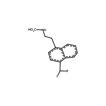 O=C(O)NCCc1ccc(C(F)F)c2ccccc12